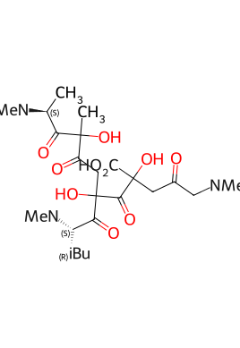 CC[C@@H](C)[C@H](NC)C(=O)C(O)(CC(=O)C(C)(O)C(=O)[C@H](C)NC)C(=O)C(O)(CC(=O)CNC)C(=O)O